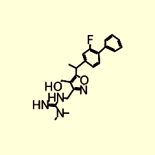 CC(c1ccc(-c2ccccc2)c(F)c1)c1onc(CNC(=N)N(C)C)c1CO